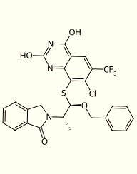 C[C@@H]([C@H](OCc1ccccc1)Sc1c(Cl)c(C(F)(F)F)cc2c(O)nc(O)nc12)N1Cc2ccccc2C1=O